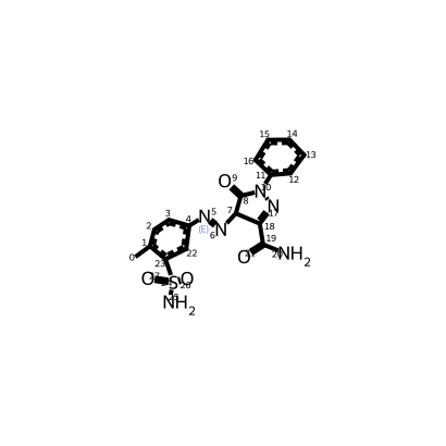 Cc1ccc(/N=N/C2C(=O)N(c3ccccc3)N=C2C(N)=O)cc1S(N)(=O)=O